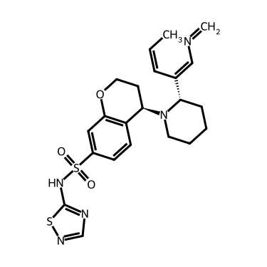 C=N/C=C(\C=C/C)[C@@H]1CCCCN1[C@@H]1CCOc2cc(S(=O)(=O)Nc3ncns3)ccc21